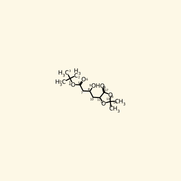 CC(C)(C)OC(=O)CC(O)CC1OC(C)(C)OC1=O